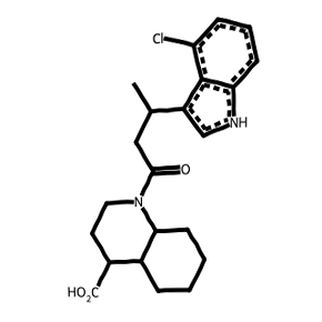 CC(CC(=O)N1CCC(C(=O)O)C2CCCCC21)c1c[nH]c2cccc(Cl)c12